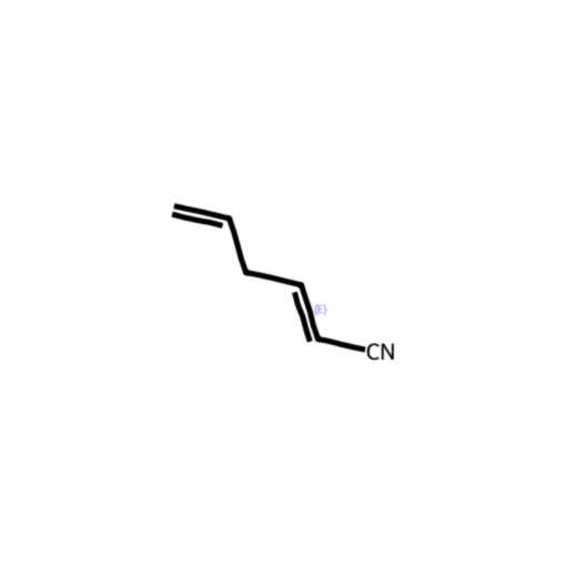 C=CC/C=C/C#N